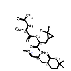 C/N=C/[C@H](C[C@@H]1CCC(C)(C)NC1=O)NC(=O)[C@H](CC1CC1(F)F)NC(=O)[C@@H](NC(=O)C(F)(F)F)C(C)(C)C